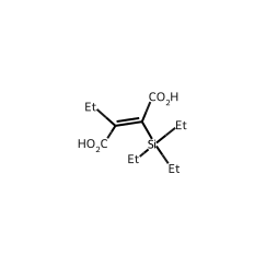 CC/C(C(=O)O)=C(\C(=O)O)[Si](CC)(CC)CC